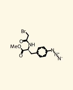 COC(=O)[C@H](Cc1ccc(N=[N+]=[N-])cc1)NC(=O)CBr